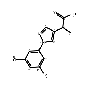 CC(C(=O)O)c1cnn(-c2cc(Cl)cc(Br)c2)c1